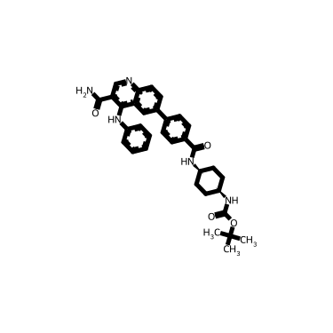 CC(C)(C)OC(=O)N[C@H]1CC[C@@H](NC(=O)c2ccc(-c3ccc4ncc(C(N)=O)c(Nc5ccccc5)c4c3)cc2)CC1